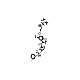 COc1cc2c(Nc3ncc(CC(=O)Nc4cccc(F)c4)s3)ncnc2cc1OCCCNC(C)(C)[C](C(C)(C)C)C(C)(C)C